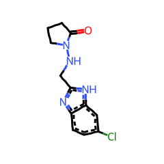 O=C1CCCN1NCc1nc2ccc(Cl)cc2[nH]1